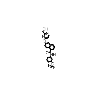 O=C(Nc1cccc(OC(F)(F)F)c1)c1cccc2cc(Oc3ccnc(CO)n3)ccc12